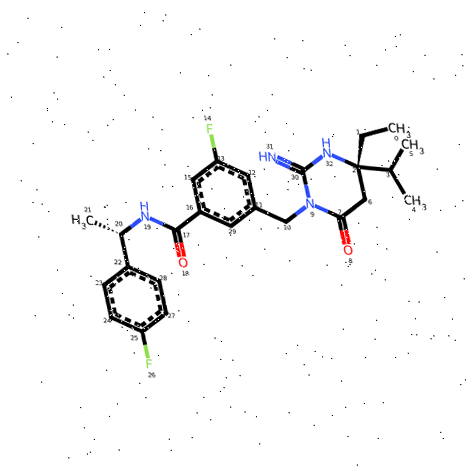 CC[C@@]1(C(C)C)CC(=O)N(Cc2cc(F)cc(C(=O)N[C@@H](C)c3ccc(F)cc3)c2)C(=N)N1